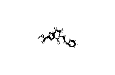 COC(=O)c1cc2c(=O)n(CCc3ccccc3)c(=O)[nH]c2s1